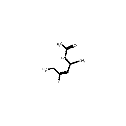 CC/C(I)=C\C(C)NC(C)=O